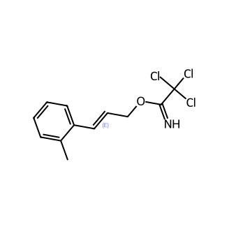 Cc1ccccc1/C=C/COC(=N)C(Cl)(Cl)Cl